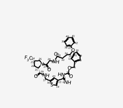 N=C(NC(=O)OCc1ccccc1)c1csc(CNC(=O)[C@@H]2C[C@H](C(F)(F)F)CN2C(=O)CNC(=O)CCCOc2ccccc2)c1